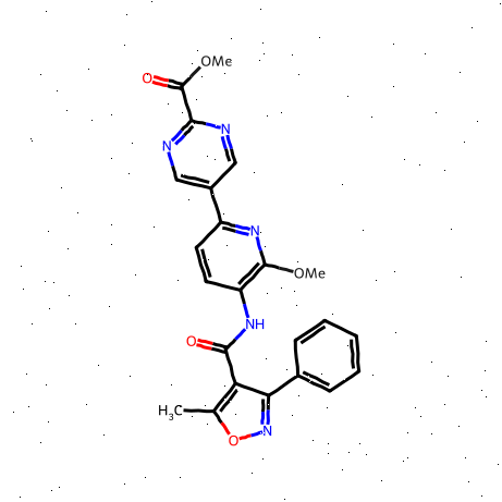 COC(=O)c1ncc(-c2ccc(NC(=O)c3c(-c4ccccc4)noc3C)c(OC)n2)cn1